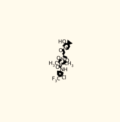 C[C@H]1C(=O)N2[C@@H](CCC(=O)N3CCC4(CC4)[C@H](O)C3)COC2(C)CN1C(=O)Nc1ccc(C(F)(F)F)c(Cl)c1